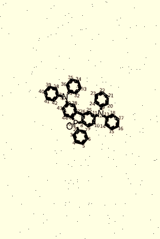 O=P1(c2ccccc2)c2ccc(N(c3ccccc3)c3ccccc3)cc2-c2cc(N(c3ccccc3)c3ccccc3)ccc21